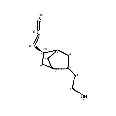 OCCC1CC2CC1C[C@H]2N=C=S